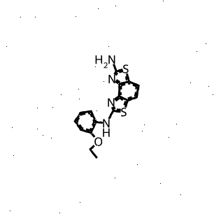 CCOc1ccccc1Nc1nc2c(ccc3sc(N)nc32)s1